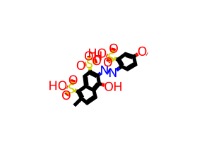 COc1ccc(N=Nc2c(S(=O)(=O)O)cc3c(S(=O)(=O)O)c(C)ccc3c2O)c(S(=O)(=O)O)c1